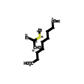 CCCCCCCCCCCCCCCCCC(=O)O.CCSC(C=O)CC